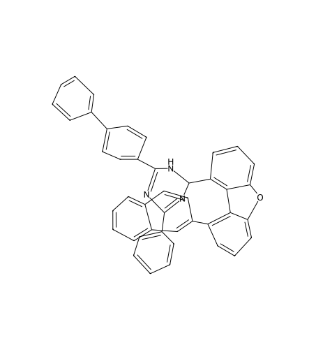 c1ccc(C2=NC(c3cccc4oc5cccc(-c6ccc7ccccc7c6)c5c34)NC(c3ccc(-c4ccccc4)cc3)=N2)cc1